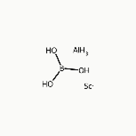 OB(O)O.[AlH3].[Sc]